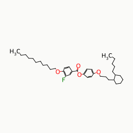 CCCCCCCCCCCOc1ccc(C(=O)Oc2ccc(OCCCC3CCCCC3CCCCC)cc2)cc1F